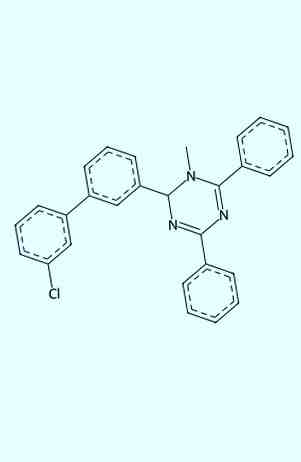 CN1C(c2ccccc2)=NC(c2ccccc2)=NC1c1cccc(-c2cccc(Cl)c2)c1